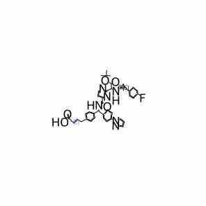 CC(C)(C)OC(=O)C(N[C@@H]1C[C@H]1c1ccc(F)cc1)c1nccc(C(=O)NC(c2ccc(C/C=C/C(=O)O)cc2)c2ccc(-n3cccn3)cc2)n1